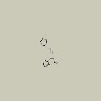 CCC1(CC)C[C@@H](CNC(C)Oc2ccc(O)cc2)c2ccccc2O1